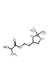 CC(C#N)C(=O)OCCC1COC(C)(C)O1